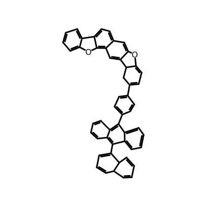 C1=CC2C=CC=C(c3c4ccccc4c(-c4ccc(C5=CC=C6Oc7cc8ccc9c%10ccccc%10oc9c8cc7C6C5)cc4)c4ccccc34)C2C=C1